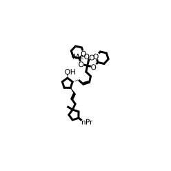 CCCC1CCC(C)(C/C=C/[C@H]2CC[C@H](O)[C@@H]2C/C=C\CCC(OC2CCCCO2)(OC2CCCCO2)C(=O)OC)C1